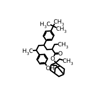 CCC(CC(CC(C)c1ccc(O)cc1)c1ccc(C(C)(C)C)cc1)C(=O)OC1(CC)C2CC3CC(C2)CC1C3